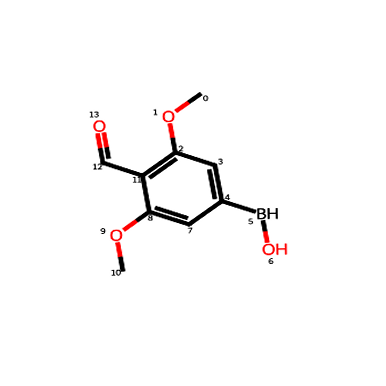 COc1cc(BO)cc(OC)c1C=O